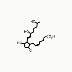 CC(O)CCCC(O)/C=C/C1C(O)CC(Cl)C1C/C=C\CCCC(=O)O